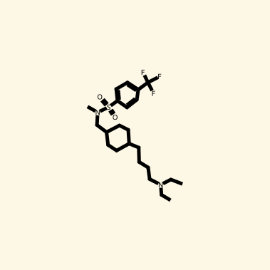 CCN(CC)CCCCC1CCC(CN(C)S(=O)(=O)c2ccc(C(F)(F)F)cc2)CC1